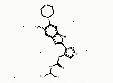 CC(C)NC(=O)Nc1c[nH]nc1-c1nc2cc(P)c(N3CCOCC3)cc2[nH]1